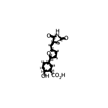 O=C1NC(=O)C(=Cc2ccc(-c3ccc(O)c(C(=O)O)c3)o2)S1